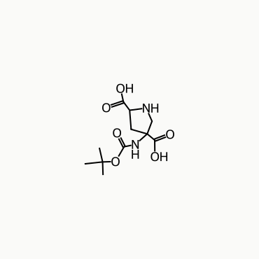 CC(C)(C)OC(=O)NC1(C(=O)O)CNC(C(=O)O)C1